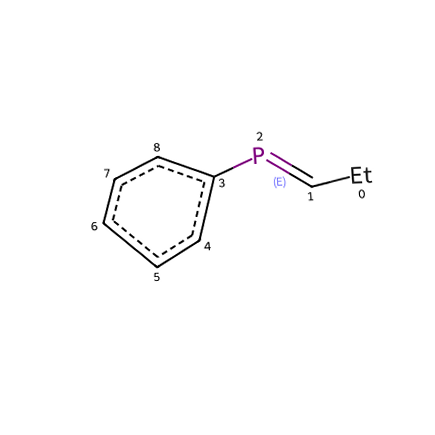 CC/C=P/c1ccccc1